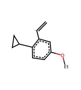 C=[C]c1cc(OCC)ccc1C1CC1